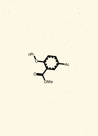 CCCOc1ccc(C(C)=O)cc1C(=O)OC